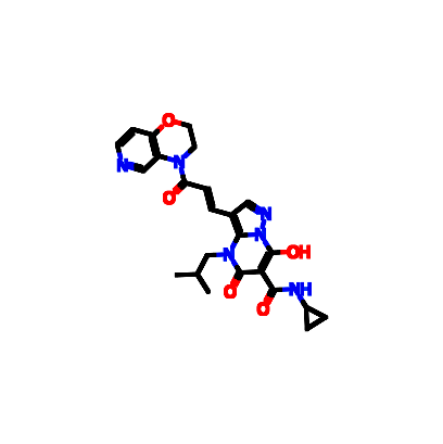 CC(C)Cn1c(=O)c(C(=O)NC2CC2)c(O)n2ncc(C=CC(=O)N3CCOc4ccncc43)c12